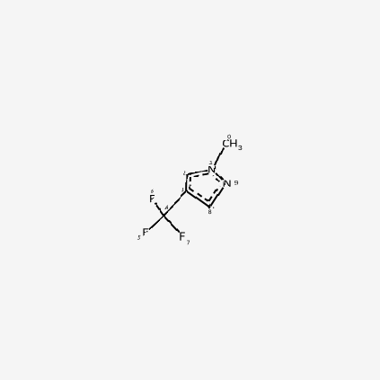 Cn1[c]c(C(F)(F)F)[c]n1